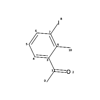 CC(=O)c1cccc(I)c1C